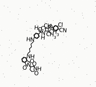 CC1(C)C(NC(=O)c2ccc(NCCCCCCNc3cccc4c3C(=O)N(C3CCC(=O)NC3=O)C4=O)cc2)C(C)(C)C1Oc1ccc(C#N)c(Cl)c1